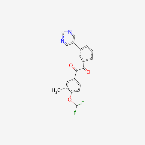 Cc1cc(C(=O)C(=O)c2cccc(-c3cncnc3)c2)ccc1OC(F)F